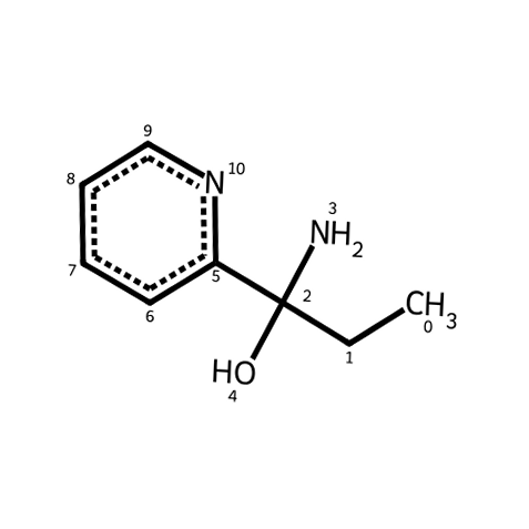 CCC(N)(O)c1ccccn1